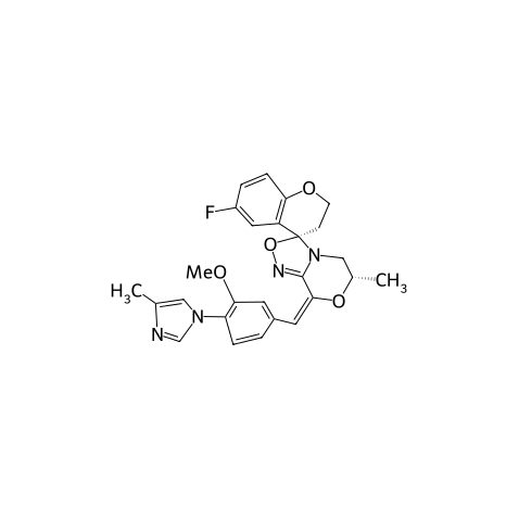 COc1cc(/C=C2/O[C@@H](C)CN3C2=NO[C@]32CCOc3ccc(F)cc32)ccc1-n1cnc(C)c1